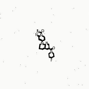 Cn1nc2cc(N3CCCc4cc(C(=O)N5CCC(F)CC5)cnc43)ccn2c1=O